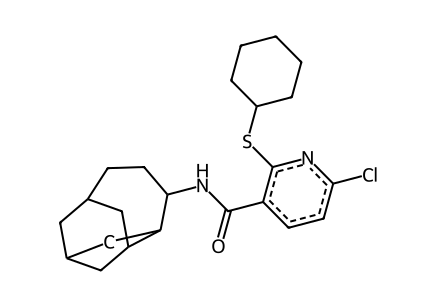 O=C(NC1CCC2CC3CC(C2)C1C3)c1ccc(Cl)nc1SC1CCCCC1